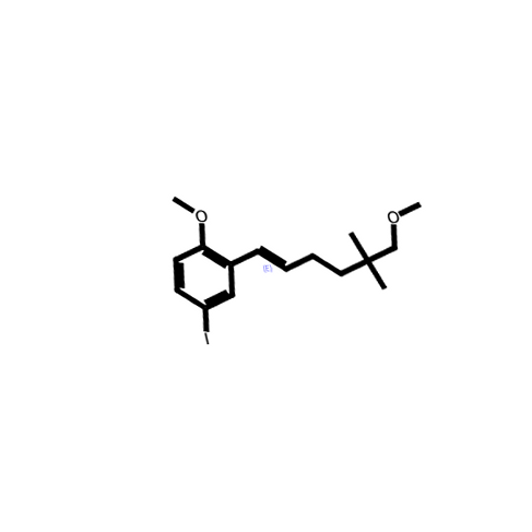 COCC(C)(C)CC/C=C/c1cc(I)ccc1OC